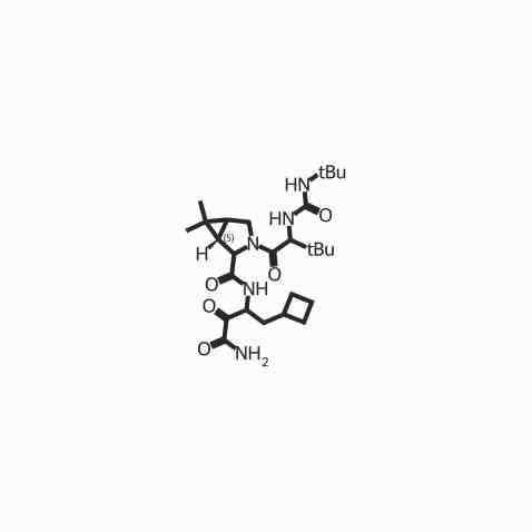 CC(C)(C)NC(=O)NC(C(=O)N1CC2[C@H](C1C(=O)NC(CC1CCC1)C(=O)C(N)=O)C2(C)C)C(C)(C)C